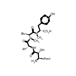 CCCCC[C@@H](N)[C@@H](O)C(=O)N[C@@H](C(=O)N(C)[C@@H](C(=O)N(C)[C@H](Cc1ccc(O)cc1)C(=O)O)[C@H](C)CC)C(C)C